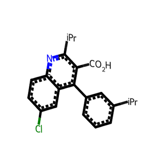 CC(C)c1cccc(-c2c(C(=O)O)c(C(C)C)nc3ccc(Cl)cc23)c1